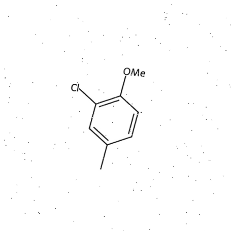 COc1[c]cc(C)cc1Cl